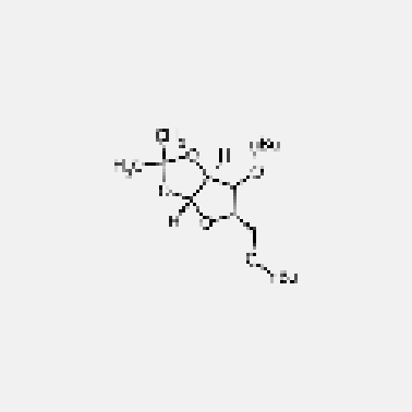 CCCCOC[C@H]1O[C@@H]2OC(C)(C)O[C@H]2C1OCCCC